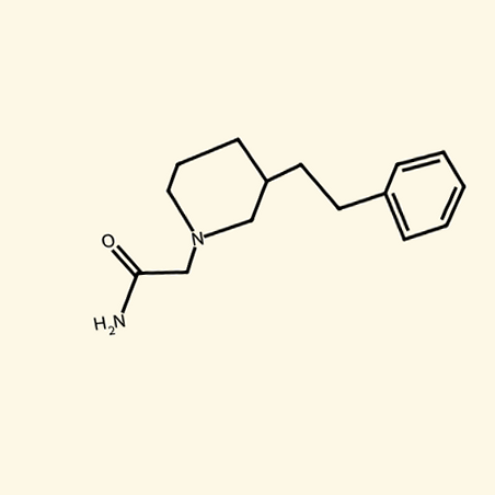 NC(=O)CN1CCCC(CCc2ccccc2)C1